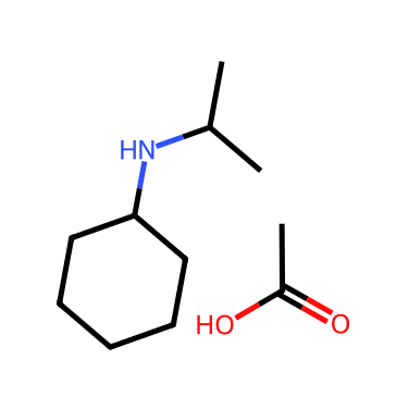 CC(=O)O.CC(C)NC1CCCCC1